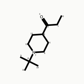 CCC(=O)C1CCN(C(C)(C)C)CC1